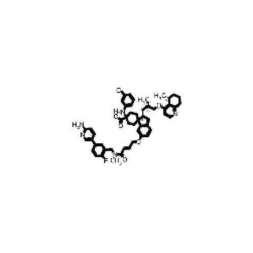 C[C@@H](COc1ccnc2c1[C@H](C)CCC2)C[C@H]1Cc2ccc(OCCCC(=O)N(C)Cc3cc(-c4ccc(N)nc4)ccc3F)cc2C12CCC(Nc1cccc(Cl)c1)(C(=O)O)CC2